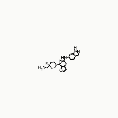 NCC1(F)CCN(c2nc(Nc3ccc4cn[nH]c4c3)nc3ccoc23)CC1